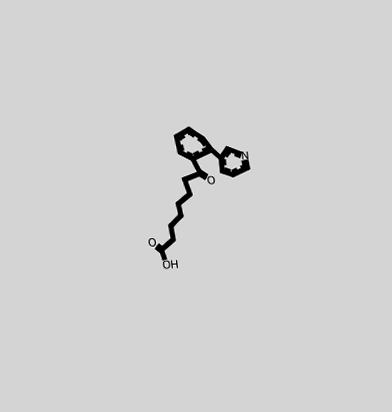 O=C(O)CCCCCCC(=O)c1ccccc1-c1cccnc1